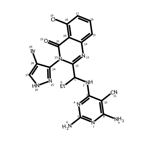 CCC(Nc1nc(N)nc(N)c1C#N)c1nc2cccc(Cl)c2c(=O)n1-c1n[nH]cc1Br